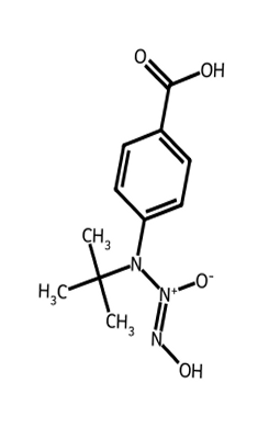 CC(C)(C)N(c1ccc(C(=O)O)cc1)/[N+]([O-])=N/O